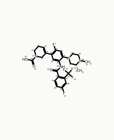 C[C@@H]1CN(c2cc(F)c(C3=CCCN(C(=O)O)C3)cc2NC(=O)c2ccc(F)cc2C(F)(F)F)CCN1C